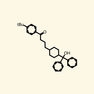 CC(C)(C)c1ccc(C(=O)CCCC2CCC(C(O)(c3ccccc3)c3ccccc3)CC2)cc1